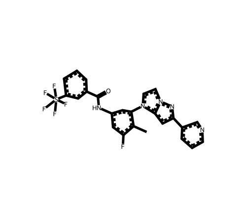 Cc1c(F)cc(NC(=O)c2cccc(S(F)(F)(F)(F)F)c2)cc1-n1ccn2nc(-c3cccnc3)cc12